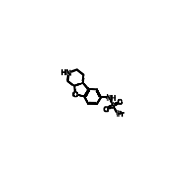 CC(C)S(=O)(=O)Nc1ccc2c(c1)C1CCNCC1O2